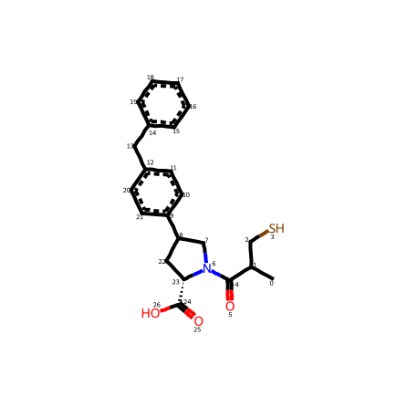 CC(CS)C(=O)N1CC(c2ccc(Cc3ccccc3)cc2)C[C@H]1C(=O)O